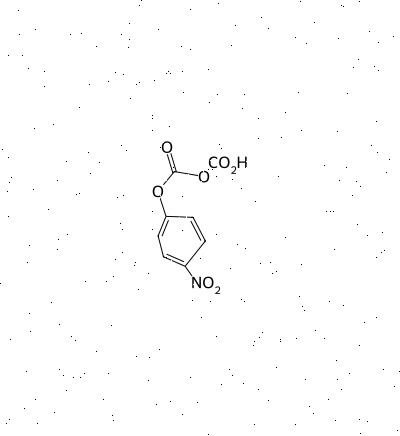 O=C(O)OC(=O)Oc1ccc([N+](=O)[O-])cc1